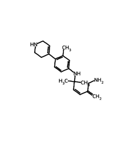 C=C(/C=C\C(C)(C)Nc1ccc(C2=CCNCC2)c(C)c1)CN